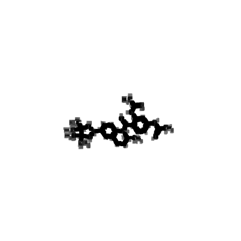 CC(=O)Oc1ccc(C(=O)N2c3ccc(B4OC(C)(C)C(C)(C)O4)cc3CC[C@@H]2C)c(OC(C)=O)c1